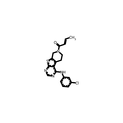 C/C=C/C(=O)N1CCc2c(sc3ncnc(Nc4cccc(Cl)c4)c23)C1